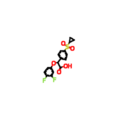 O=C(O)C(Oc1ccc(F)c(F)c1)c1ccc(S(=O)(=O)C2CC2)cc1